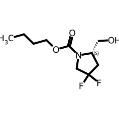 CCCCOC(=O)N1CC(F)(F)C[C@H]1CO